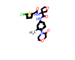 Cc1cc(NC(=O)C2(NC(=O)c3ccc(Cl)s3)CCOC2)ccc1N1CCOCC1=O